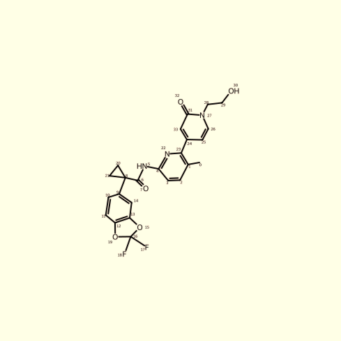 Cc1ccc(NC(=O)C2(c3ccc4c(c3)OC(F)(F)O4)CC2)nc1-c1ccn(CCO)c(=O)c1